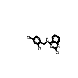 Clc1ccc(CNc2nc(Cl)nc3ccccc23)c(Cl)c1